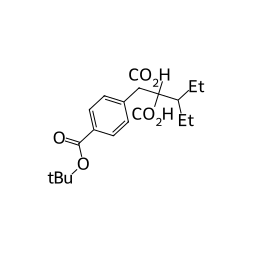 CCC(CC)C(Cc1ccc(C(=O)OC(C)(C)C)cc1)(C(=O)O)C(=O)O